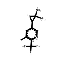 Cc1cc(C2SC2(N)N)cnc1C(F)(F)F